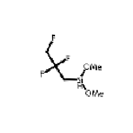 CO[SiH](CC(F)(F)CF)OC